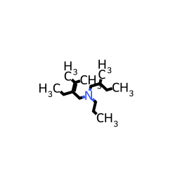 CCCN(CC(CC)=C(C)C)CC(C)CC